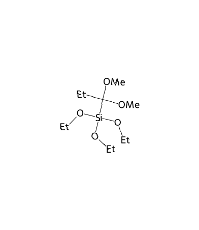 CCO[Si](OCC)(OCC)C(CC)(OC)OC